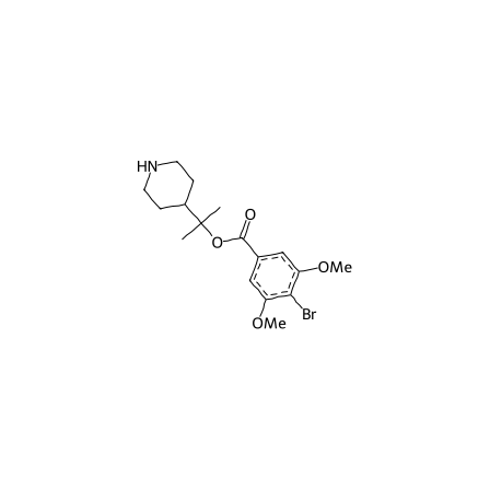 COc1cc(C(=O)OC(C)(C)C2CCNCC2)cc(OC)c1Br